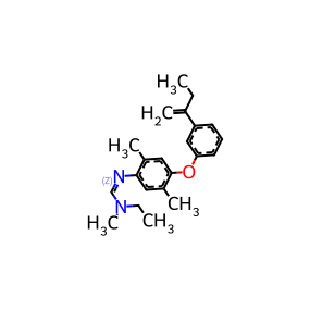 C=C(CC)c1cccc(Oc2cc(C)c(/N=C\N(C)CC)cc2C)c1